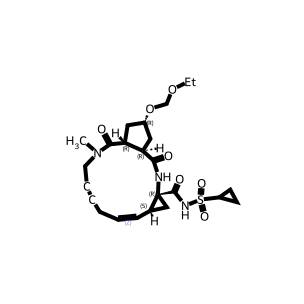 CCOCO[C@@H]1C[C@H]2C(=O)N[C@]3(C(=O)NS(=O)(=O)C4CC4)C[C@H]3/C=C\CCCCN(C)C(=O)[C@@H]2C1